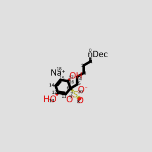 CCCCCCCCCCCCCCCC1(S(=O)(=O)[O-])C=C(O)C=CC1O.[Na+]